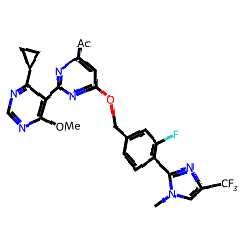 COc1ncnc(C2CC2)c1-c1nc(OCc2ccc(-c3nc(C(F)(F)F)cn3C)c(F)c2)cc(C(C)=O)n1